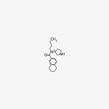 CCCCN(C(=O)c1ccc2c(c1)CCCC2)[C@H]1CCNC1